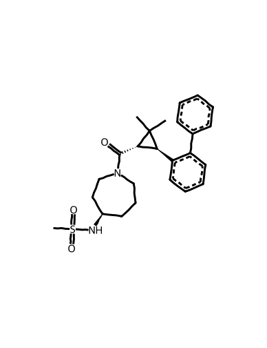 CC1(C)[C@@H](C(=O)N2CCC[C@@H](NS(C)(=O)=O)CC2)[C@@H]1c1ccccc1-c1ccccc1